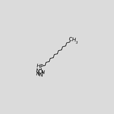 CCCCCCCCCCCCCCPC1N=NN=N1